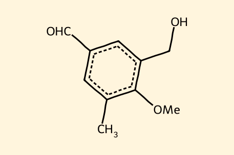 COc1c(C)cc(C=O)cc1CO